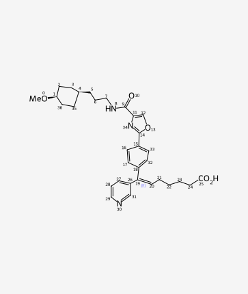 CO[C@H]1CC[C@@H](CCCNC(=O)c2coc(-c3ccc(/C(=C\CCCCC(=O)O)c4cccnc4)cc3)n2)CC1